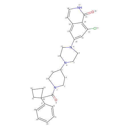 O=C(N1CCC(N2CCN(c3cc(Cl)c4c(=O)[nH]ccc4c3)CC2)CC1)C1(c2ccccc2)CCC1